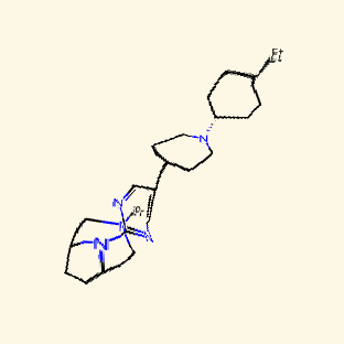 CC[C@H]1CC[C@H](N2CCC(c3cnc(N4C5CCC4CN(C(C)C)C5)nc3)CC2)CC1